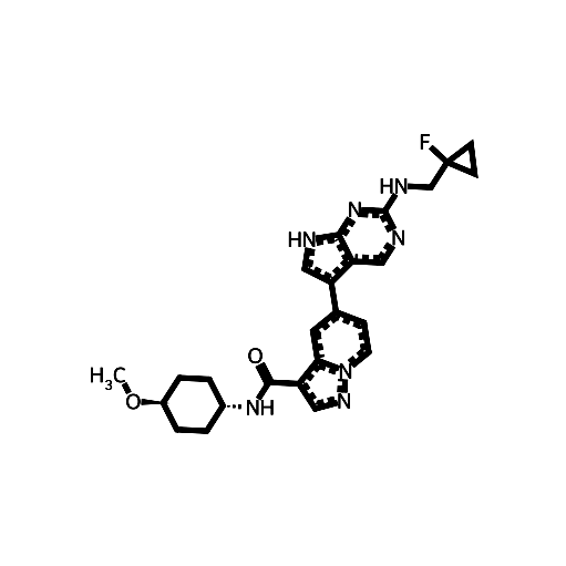 CO[C@H]1CC[C@H](NC(=O)c2cnn3ccc(-c4c[nH]c5nc(NCC6(F)CC6)ncc45)cc23)CC1